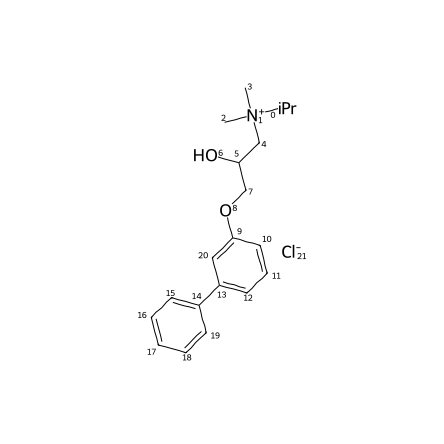 CC(C)[N+](C)(C)CC(O)COc1cccc(-c2ccccc2)c1.[Cl-]